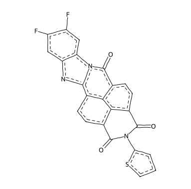 O=C1c2ccc3c(=O)n4c5cc(F)c(F)cc5nc4c4ccc(c2c34)C(=O)N1c1cccs1